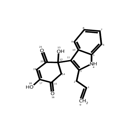 C=CCc1[nH]c2ccccc2c1C1(O)CC(=O)C(O)=CC1=O